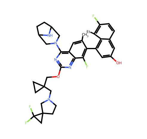 CCc1c(F)ccc2cc(O)cc(-c3c(C)cc4c(N5CC6CCC(C5)N6)nc(OCC5(CN6CCC7(C6)CC7(F)F)CC5)nc4c3F)c12